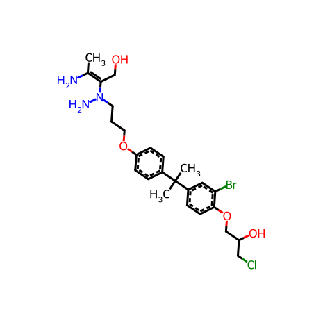 C/C(N)=C(\CO)N(N)CCCOc1ccc(C(C)(C)c2ccc(OCC(O)CCl)c(Br)c2)cc1